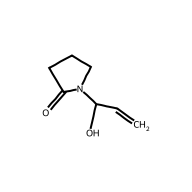 C=CC(O)N1CCCC1=O